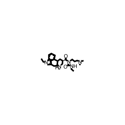 CCNC(=O)N(CCCN(C)C)C(=O)[C@@H]1CC2c3cccc4c3c(cn4CC)C[C@H]2N(C)C1